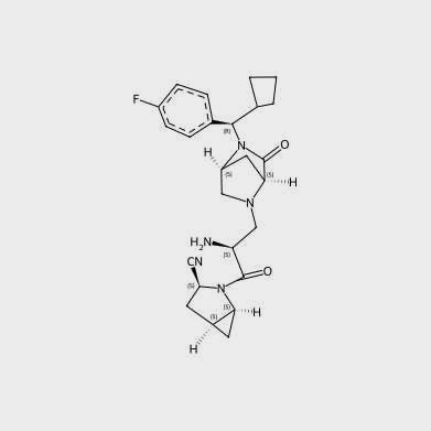 N#C[C@@H]1C[C@@H]2C[C@@H]2N1C(=O)[C@@H](N)CN1C[C@@H]2C[C@H]1C(=O)N2[C@@H](c1ccc(F)cc1)C1CCC1